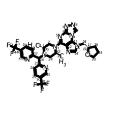 C[C@@H]1CN(c2nc3nncn3c3c2ncn3C[C@@H]2CCCO2)[C@@H](C)CN1C(c1ccc(C(F)(F)F)cn1)c1ccc(C(F)(F)F)cn1